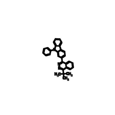 CC(C)(C)c1nnc(-c2ccc3c4ccccc4n(-c4ccccc4)c3c2)c2ccccc12